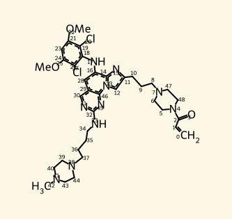 C=CC(=O)N1CCN(CCCc2cn3c(n2)c(Nc2c(Cl)c(OC)cc(OC)c2Cl)cc2cnc(NCCCCN4CCN(C)CC4)nc23)CC1